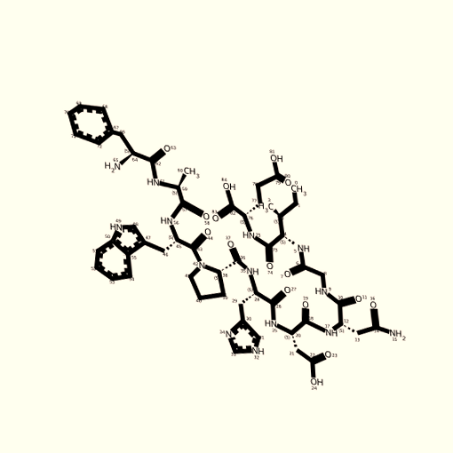 CC[C@H](C)[C@H](NC(=O)CNC(=O)[C@H](CC(N)=O)NC(=O)[C@H](CC(=O)O)NC(=O)[C@H](Cc1c[nH]cn1)NC(=O)[C@@H]1CCCN1C(=O)[C@H](Cc1c[nH]c2ccccc12)NC(=O)[C@H](C)NC(=O)[C@@H](N)Cc1ccccc1)C(=O)N[C@@H](CCC(=O)O)C(=O)O